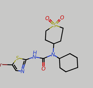 O=C(Nc1ncc(Br)s1)N(C1CCCCC1)C1CCS(=O)(=O)CC1